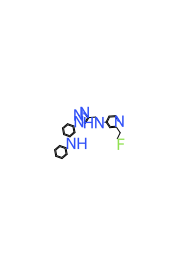 FCCc1cc(NCc2cn(-c3cccc(Nc4ccccc4)c3)nn2)ccn1